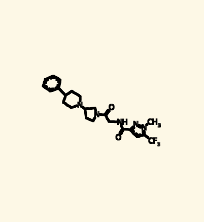 Cn1nc(C(=O)NCC(=O)N2CCC(N3CCC(c4ccccc4)CC3)C2)cc1C(F)(F)F